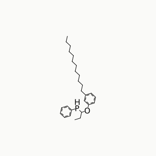 CCCCCCCCCCCCc1cccc(OC(CC)Pc2ccccc2)c1